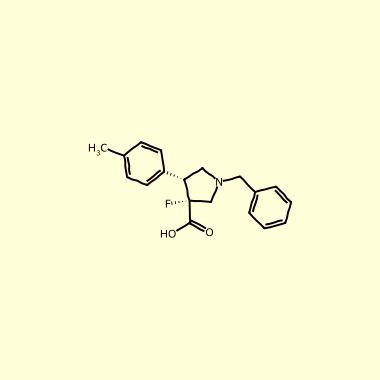 Cc1ccc([C@@H]2CN(Cc3ccccc3)C[C@@]2(F)C(=O)O)cc1